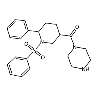 O=C(C1CCC(c2ccccc2)N(S(=O)(=O)c2ccccc2)C1)N1CCNCC1